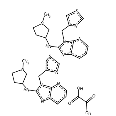 CN1CCC(Nc2nc3cccnc3n2Cc2cscn2)C1.CN1CCC(Nc2nc3cccnc3n2Cc2cscn2)C1.O=C(O)C(=O)O